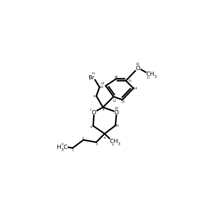 CCCCC1(C)COC(CCBr)(c2ccc(OC)cc2)OC1